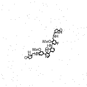 COc1cc(-c2nccc(-c3cccc(Nc4cc(F)cc(CNC[C@H]5CCC(=O)N5)c4OC)c3Cl)c2Cl)ccc1CNC[C@H]1CCC(=O)N1